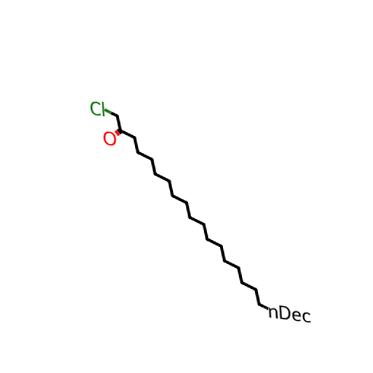 CCCCCCCCCCCCCCCCCCCCCCCCCCC(=O)CCl